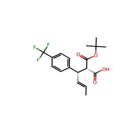 CC=C[C@H](c1ccc(C(F)(F)F)cc1)[C@@H](C(=O)O)C(=O)OC(C)(C)C